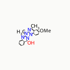 COc1ccc2nc(N(C)c3nc(O)c4ccccc4n3)nc(C)c2c1